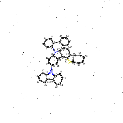 c1ccc(-c2ccccc2-n2c3ccc(-n4c5ccccc5c5ccccc54)cc3c3c4sc5ccccc5c4ccc32)cc1